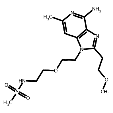 COCCc1nc2c(N)nc(C)cc2n1CCOCCNS(C)(=O)=O